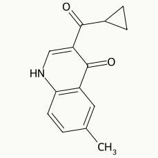 Cc1ccc2[nH]cc(C(=O)C3CC3)c(=O)c2c1